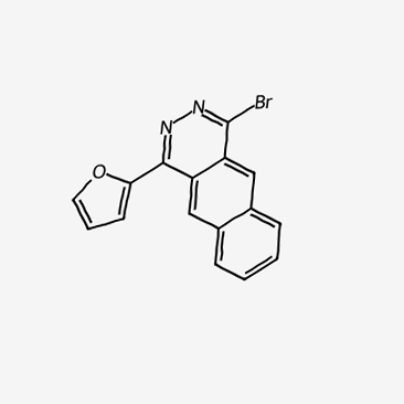 Brc1nnc(-c2ccco2)c2cc3ccccc3cc12